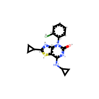 O=c1nc(NC2CC2)c2sc(C3CC3)nc2n1-c1ccccc1Cl